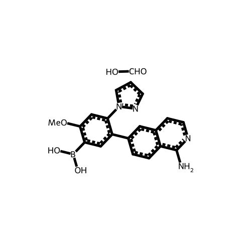 COc1cc(-n2cccn2)c(-c2ccc3c(N)nccc3c2)cc1B(O)O.O=CO